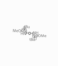 CO[C@H]1C[C@@H](C2=NC(c3ccc(-c4c[nH]c([C@@H]5C[C@H](OC)CN5C(=O)OC(C)(C)C)n4)cc3)CN2)N(C(=O)OC(C)(C)C)C1